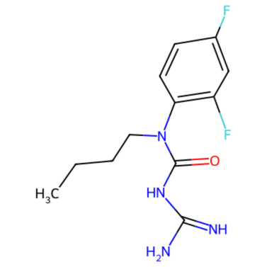 CCCCN(C(=O)NC(=N)N)c1ccc(F)cc1F